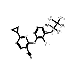 Cc1c(Nc2nc(C3CC3)ccc2C#N)cccc1O[Si](C)(C)C(C)(C)C